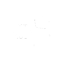 Cc1ccccc1.[Ti][C]1=CC=CC1